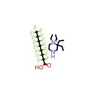 CCC1(CC)CNCC[N+]1(CC)CC.O=C(O)C(F)(F)C(F)(F)C(F)(F)C(F)(F)C(F)(F)C(F)(F)C(F)(F)F